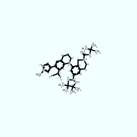 Cn1cc(-c2cc3c(cc2C(F)F)N(c2cc(B4OC(C)(C)C(C)(C)O4)cc4c2CN(C(=O)OC(C)(C)C)CC4)CCC3)cn1